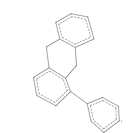 [c]1ccc(-c2cccc3c2Cc2ccccc2C3)cc1